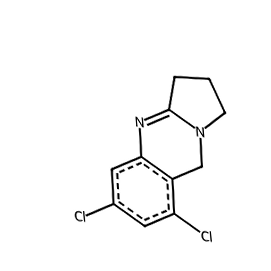 Clc1cc(Cl)c2c(c1)N=C1CCCN1C2